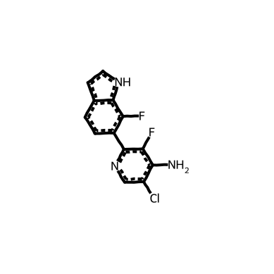 Nc1c(Cl)cnc(-c2ccc3cc[nH]c3c2F)c1F